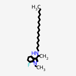 C=C(NCCCCCCCCCCCCCCCCCC)c1cn(CC)c2c1=CCCC=2F